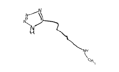 CNCCCCc1nnn[nH]1